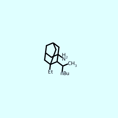 CCCCC(C)C1C2(N)CC3CC(C2)CC1(CC)C3